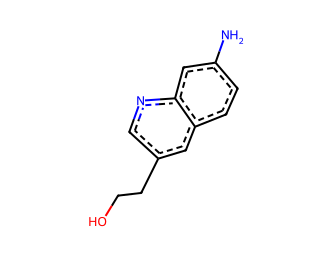 Nc1ccc2cc(CCO)cnc2c1